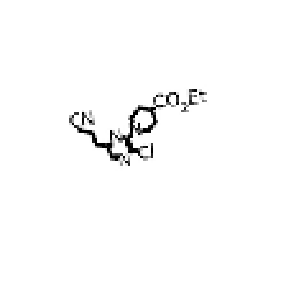 CCOC(=O)C1CCN(c2nc(CCCC#N)cnc2Cl)CC1